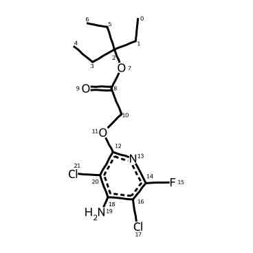 CCC(CC)(CC)OC(=O)COc1nc(F)c(Cl)c(N)c1Cl